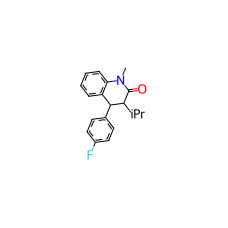 CC(C)C1C(=O)N(C)c2ccccc2C1c1ccc(F)cc1